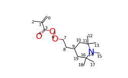 C=C(C)C(=O)OOCCC1CC(C)(C)N(C)C(C)(C)C1